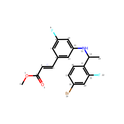 COC(=O)/C=C/c1cc(F)cc(NC(C)c2ccc(Br)cc2F)c1